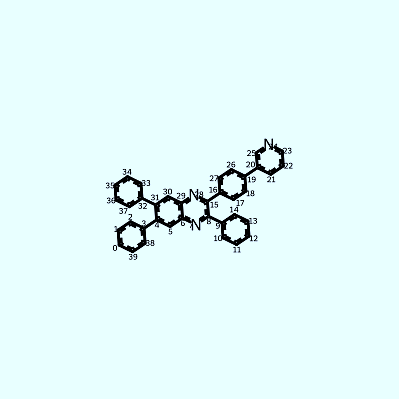 c1ccc(-c2cc3nc(-c4ccccc4)c(-c4ccc(-c5cccnc5)cc4)nc3cc2-c2ccccc2)cc1